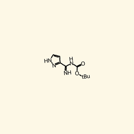 CC(C)(C)OC(=O)NC(=N)c1cc[nH]n1